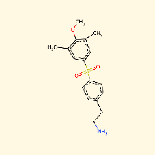 COc1c(C)cc(S(=O)(=O)c2ccc(CCN)cc2)cc1C